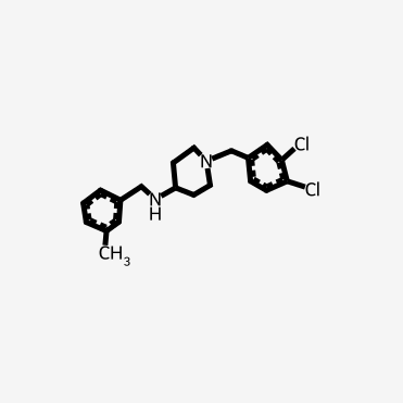 Cc1cccc(CNC2CCN(Cc3ccc(Cl)c(Cl)c3)CC2)c1